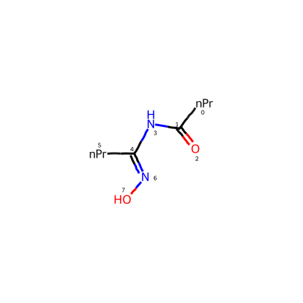 CCCC(=O)NC(CCC)=NO